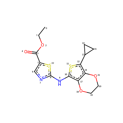 CCOC(=O)c1cnc(Nc2sc(C3CC3)c3c2OCCO3)s1